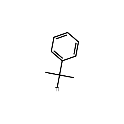 C[C](C)([Tl])c1ccccc1